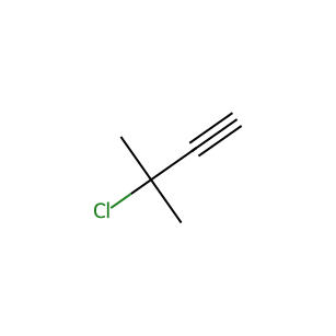 C#CC(C)(C)Cl